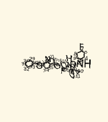 O=C(Nc1ccc(F)cc1)C1(C(=O)Nc2ccc(Oc3ccnc4cc(OCc5ccccc5)ccc34)c(F)c2)CC1